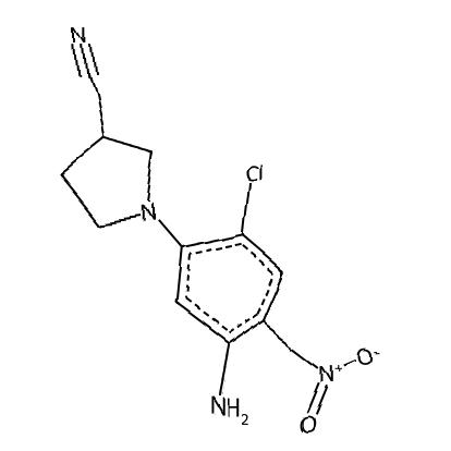 N#CC1CCN(c2cc(N)c([N+](=O)[O-])cc2Cl)C1